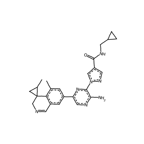 Cc1cc(-c2cnc(N)c(-n3cc(C(=O)NCC4CC4)cn3)n2)cc2c1C1(CN=C2)CC1C